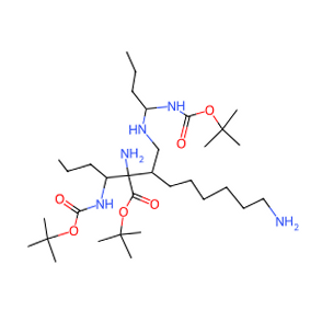 CCCC(NCC(CCCCCCN)C(N)(C(=O)OC(C)(C)C)C(CCC)NC(=O)OC(C)(C)C)NC(=O)OC(C)(C)C